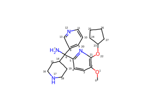 COc1ccc(C(N)(c2cccnc2)C2CCNCC2)nc1OC1CCCC1